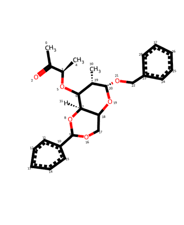 CC(=O)[C@@H](C)OC1[C@@H]2OC(c3ccccc3)OCC2O[C@@H](OCc2ccccc2)[C@H]1C